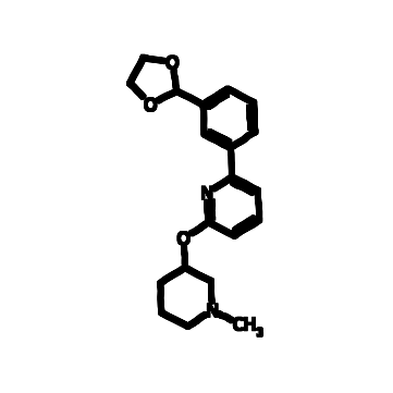 CN1CCCC(Oc2cccc(-c3cccc(C4OCCO4)c3)n2)C1